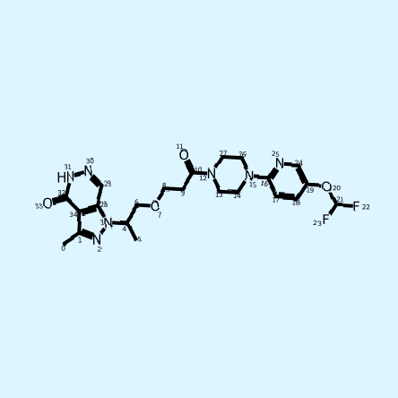 Cc1nn(C(C)COCCC(=O)N2CCN(c3ccc(OC(F)F)cn3)CC2)c2cn[nH]c(=O)c12